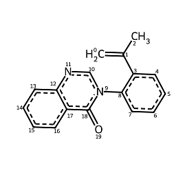 C=C(C)c1ccccc1-n1cnc2ccccc2c1=O